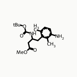 COC(=O)CC(Cc1c(C)ccc(N)c1C)NC(=O)OC(C)(C)C